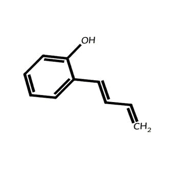 C=CC=Cc1ccccc1O